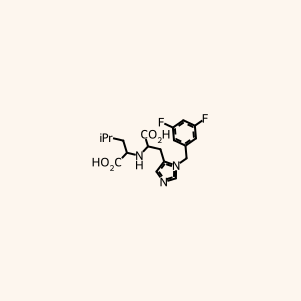 CC(C)CC(NC(Cc1cncn1Cc1cc(F)cc(F)c1)C(=O)O)C(=O)O